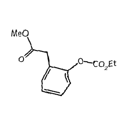 CCOC(=O)Oc1ccccc1CC(=O)OC